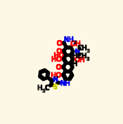 Cc1sc(Nc2ccc3c(c2O)C(=O)C2=C(O)[C@]4(O)C(=O)C(C(N)=O)=C(O)[C@H](N(C)C)[C@@H]4[C@@H](O)[C@@H]2C3)nc1-c1ccccc1